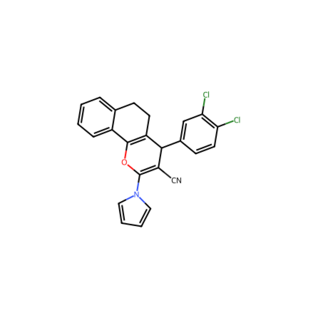 N#CC1=C(n2cccc2)OC2=C(CCc3ccccc32)C1c1ccc(Cl)c(Cl)c1